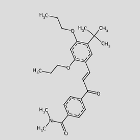 CCCOc1cc(OCCC)c(C(C)(C)C)cc1C=CC(=O)c1ccc(C(=O)N(C)C)cc1